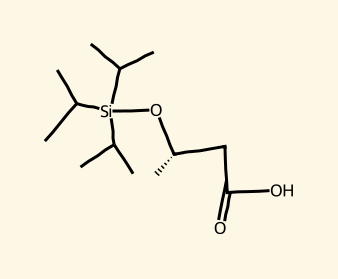 CC(C)[Si](O[C@@H](C)CC(=O)O)(C(C)C)C(C)C